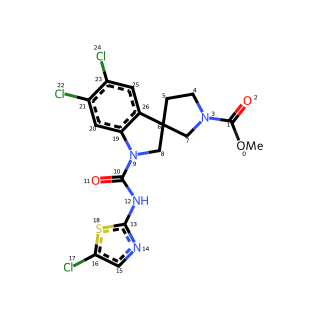 COC(=O)N1CCC2(C1)CN(C(=O)Nc1ncc(Cl)s1)c1cc(Cl)c(Cl)cc12